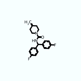 C=C1CCN(C(=O)NC(c2ccc(F)cc2)c2ccc(F)cc2)CC1